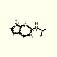 CC(C)Nc1ncc2cc[nH]c2n1